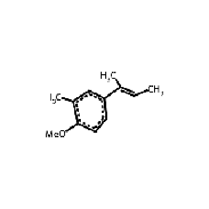 C/C=C(\C)c1ccc(OC)c(C)c1